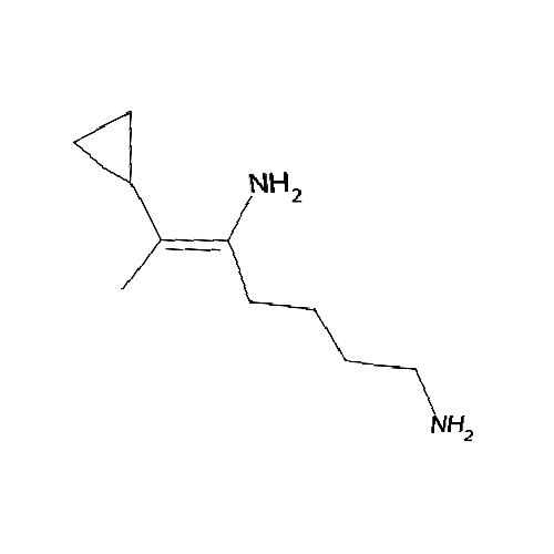 CC(=C(N)CCCCN)C1CC1